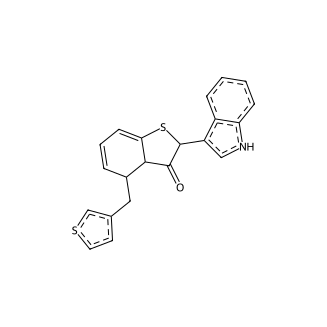 O=C1C(c2c[nH]c3ccccc23)SC2=CC=CC(Cc3ccsc3)C12